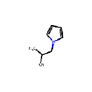 CC(C#N)Cn1cccc1